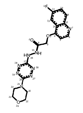 O=C(COc1ccnc2ccc(F)cc12)NNc1nnc(N2CCOCC2)nn1